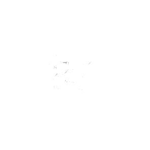 C=CCOc1nc2n(c(=O)c1N(C)C1CCCCC1)CCS2